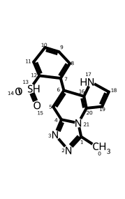 Cc1nnc2cc(-c3ccccc3[SH](=O)=O)c3[nH]ccc3n12